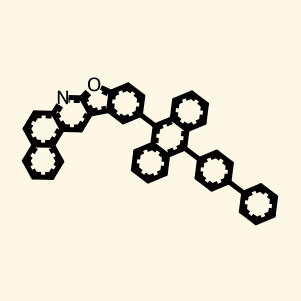 c1ccc(-c2ccc(-c3c4ccccc4c(-c4ccc5oc6nc7ccc8ccccc8c7cc6c5c4)c4ccccc34)cc2)cc1